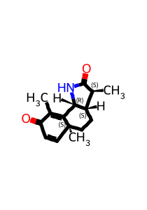 CC1=C2[C@@H]3NC(=O)[C@@H](C)[C@@H]3CC[C@@]2(C)C=CC1=O